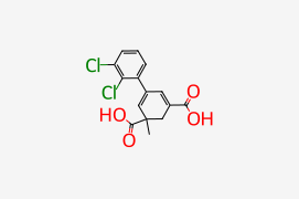 CC1(C(=O)O)C=C(c2cccc(Cl)c2Cl)C=C(C(=O)O)C1